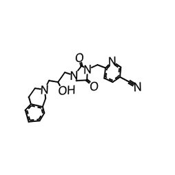 N#Cc1ccc(CN2C(=O)CN(CC(O)CN3CCc4ccccc4C3)C2=O)nc1